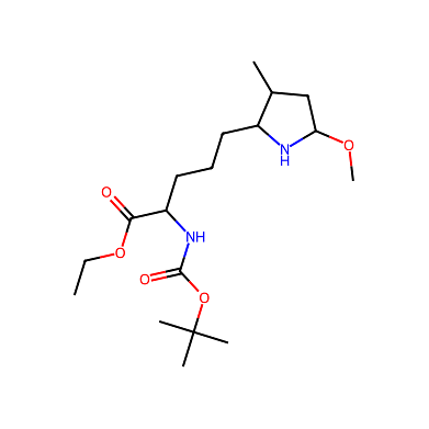 CCOC(=O)C(CCCC1NC(OC)CC1C)NC(=O)OC(C)(C)C